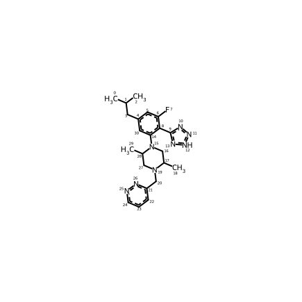 CC(C)Cc1cc(F)c(-c2nn[nH]n2)c(N2CC(C)N(Cc3cccnn3)CC2C)c1